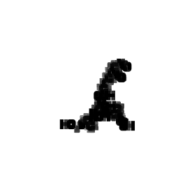 O=C=Nc1ccc(Cc2cc(Cc3ccc(NC(=O)OCc4cc(N=Nc5ccc(S(=O)(=O)O)c6ccccc56)c(O)c(N=Nc5ccc(SOOO)c6ccccc56)c4O)cc3)ccc2N=C=O)cc1